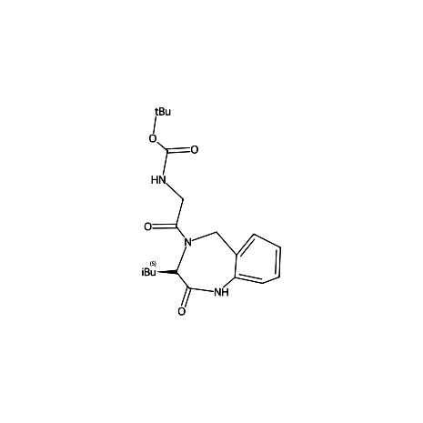 CC[C@H](C)C1C(=O)Nc2ccccc2CN1C(=O)CNC(=O)OC(C)(C)C